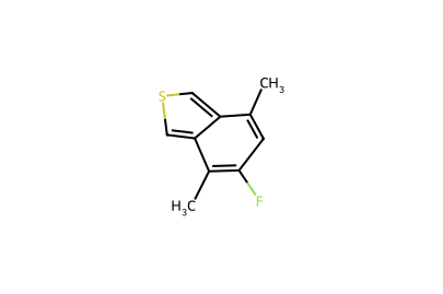 Cc1cc(F)c(C)c2cscc12